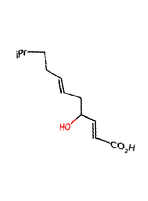 CC(C)CCC=CCC(O)C=CC(=O)O